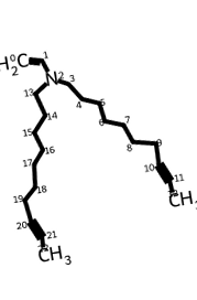 C=CN(CCCCCCCC#CC)CCCCCCCC#CC